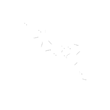 CCOC(=O)N1CC=C(c2cccn3nc(Nc4ccc(C(=O)N[C@H]5CCCNC5)cc4)nc23)CC1